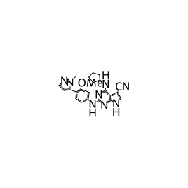 COc1cc(Nc2nc(NC3CCCC3)c3c(C#N)c[nH]c3n2)ccc1-c1ccnn1C